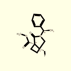 COC(=O)[C@@]12CC[C@]1(CF)CN([C@H](C)c1ccccc1)C2=O